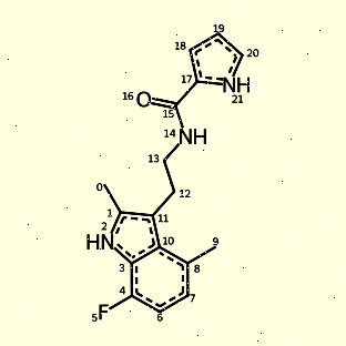 Cc1[nH]c2c(F)ccc(C)c2c1CCNC(=O)c1ccc[nH]1